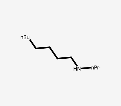 CC[CH]NCCCCCCCC